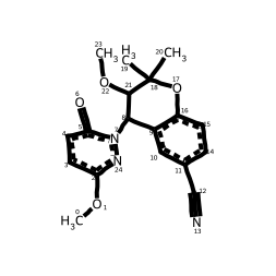 COc1ccc(=O)n(C2c3cc(C#N)ccc3OC(C)(C)C2OC)n1